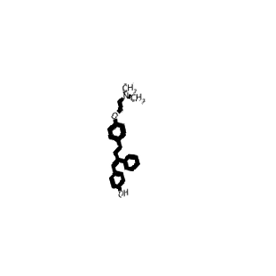 CN(C)CCOc1ccc(CC/C(=C/c2ccc(O)cc2)c2ccccc2)cc1